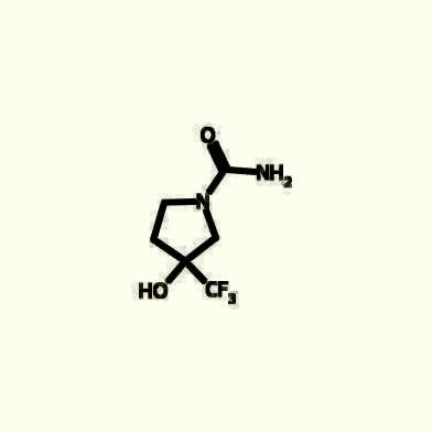 NC(=O)N1CCC(O)(C(F)(F)F)C1